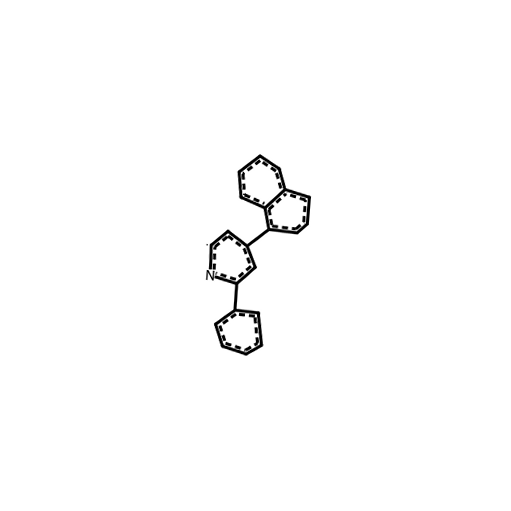 [c]1cc(-c2cccc3ccccc23)cc(-c2ccccc2)n1